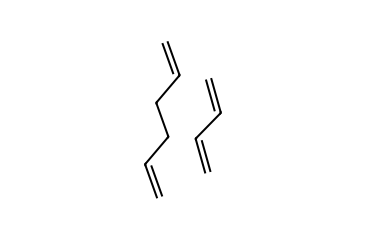 C=CC=C.C=CCCC=C